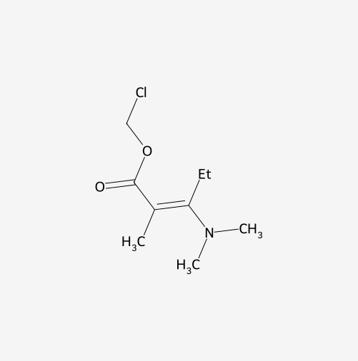 CCC(=C(C)C(=O)OCCl)N(C)C